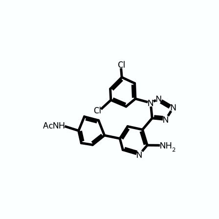 CC(=O)Nc1ccc(-c2cnc(N)c(-c3nnnn3-c3cc(Cl)cc(Cl)c3)c2)cc1